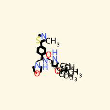 Cc1ncsc1-c1ccc([C@H](CN2CCOCC2)NC(=O)[C@@H]2C[C@@H](O[Si](C)(C)C(C)(C)C)CN2)cc1